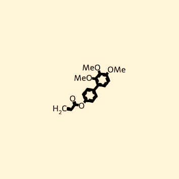 C=CC(=O)Oc1ccc(-c2ccc(OC)c(OC)c2OC)cc1